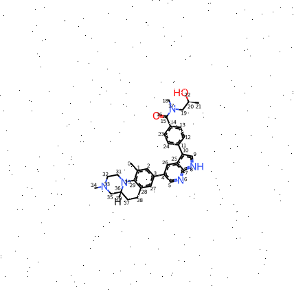 Cc1cc(-c2cnc3[nH]cc(-c4ccc(C(=O)N(C)C[C@H](C)O)cc4)c3c2)cc2c1N1CCN(C)C[C@H]1CC2